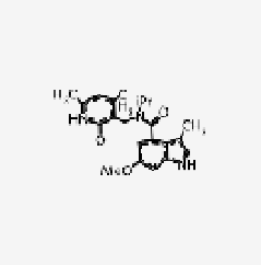 COc1cc(C(=O)N(Cc2c(C)cc(C)[nH]c2=O)C(C)C)c2c(C)c[nH]c2c1